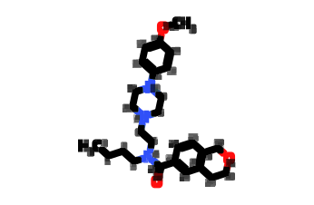 CCCCN(CCN1CCN(c2ccc(OC)cc2)CC1)C(=O)c1ccc2c(c1)CCOC2